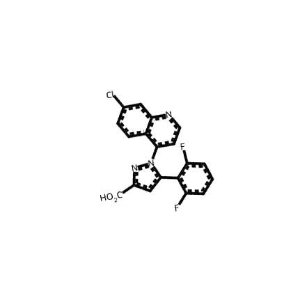 O=C(O)c1cc(-c2c(F)cccc2F)n(-c2ccnc3cc(Cl)ccc23)n1